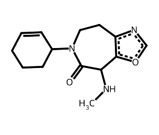 CNC1C(=O)N(C2C=CCCC2)CCc2ncoc21